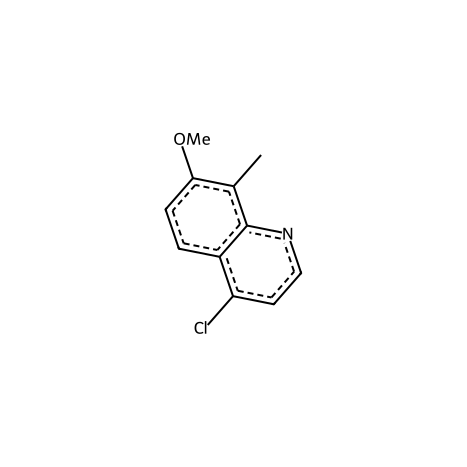 COc1ccc2c(Cl)ccnc2c1C